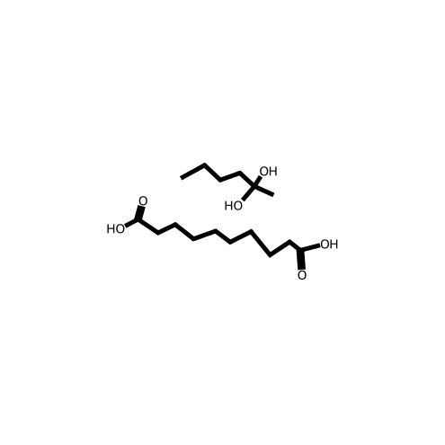 CCCCC(C)(O)O.O=C(O)CCCCCCCCC(=O)O